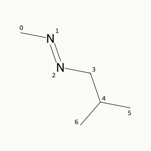 C/N=N/CC(C)C